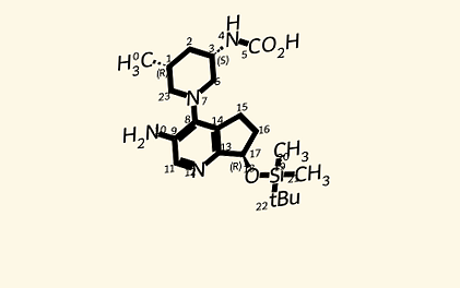 C[C@@H]1C[C@H](NC(=O)O)CN(c2c(N)cnc3c2CC[C@H]3O[Si](C)(C)C(C)(C)C)C1